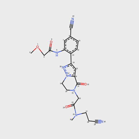 COCC(=O)Nc1cc(C#N)ccc1-c1cc2n(n1)CCN(CC(=O)N(C)CCC#N)C2=O